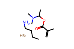 Br.C=C(C)C(=O)OC(C)N(C)C.CCCCN